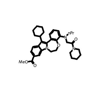 CCCN(CC(=O)N1CCCCC1)c1cccc2c1OCCn1c-2c(C2CCCCC2)c2ccc(C(=O)OC)cc21